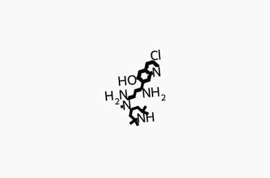 CN(/C(N)=C/C=C(\N)c1cc2ncc(Cl)cc2cc1O)C1CC(C)(C)NC(C)(C)C1